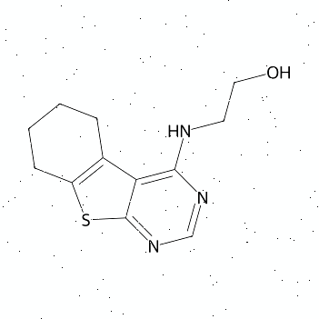 OCCNc1ncnc2sc3c(c12)CCCC3